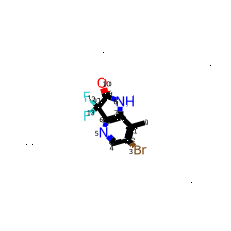 Cc1c(Br)cnc2c1NC(=O)C2(F)F